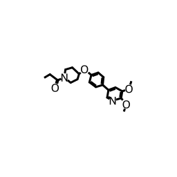 CCC(=O)N1CCC(Oc2ccc(-c3cnc(OC)c(OC)c3)cc2)CC1